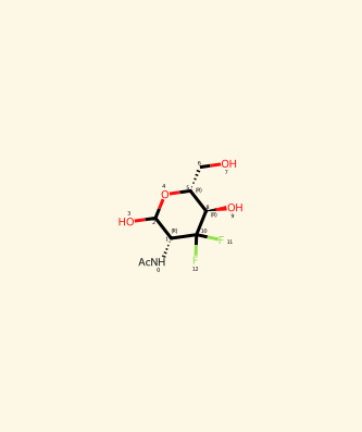 CC(=O)N[C@@H]1C(O)O[C@H](CO)[C@@H](O)C1(F)F